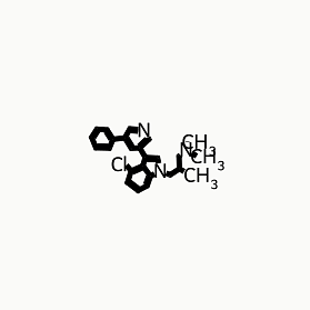 CC(CN(C)C)Cn1cc(-c2cncc(-c3ccccc3)c2)c2c(Cl)cccc21